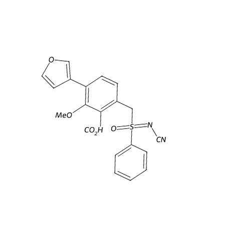 COc1c(-c2ccoc2)ccc(CS(=O)(=NC#N)c2ccccc2)c1C(=O)O